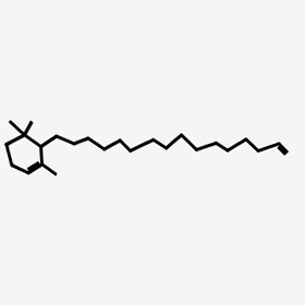 C=CCCCCCCCCCCCCCCC1C(C)=CCCC1(C)C